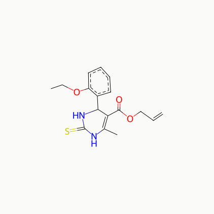 C=CCOC(=O)C1=C(C)NC(=S)NC1c1ccccc1OCC